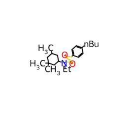 CCCCc1ccc(S(=O)(=O)N(CC)C2CC(C)CC(C)(C)C2)cc1